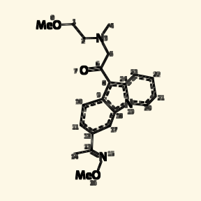 COCCN(C)CC(=O)c1c2ccc(C(C)=NOC)cc2n2ccccc12